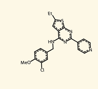 CCc1cc2c(NCc3ccc(OC)c(Cl)c3)nc(-c3ccncc3)nc2s1